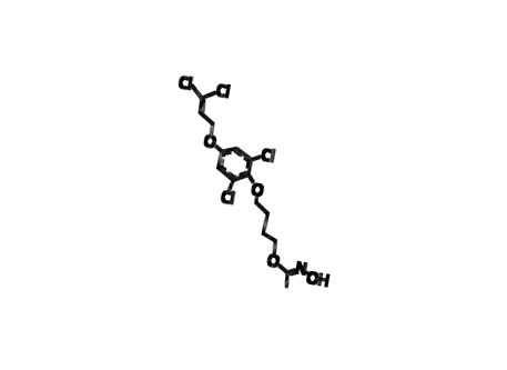 CC(=NO)OCCCCOc1c(Cl)cc(OCC=C(Cl)Cl)cc1Cl